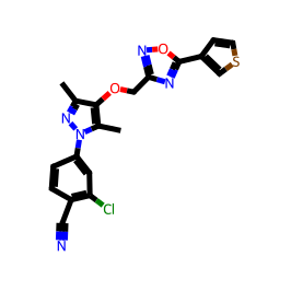 Cc1nn(-c2ccc(C#N)c(Cl)c2)c(C)c1OCc1noc(-c2ccsc2)n1